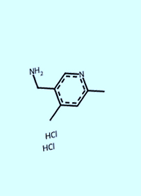 Cc1cc(C)c(CN)cn1.Cl.Cl